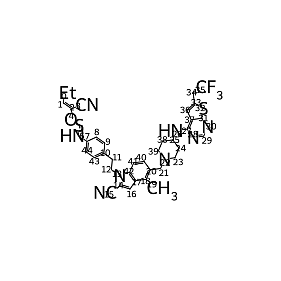 CC/C=C(\C#N)OSNc1ccc(CCn2c(C#N)cc3c(C)c(CN4CCC(Nc5ncnc6sc(CC(F)(F)F)cc56)CC4)ccc32)cc1